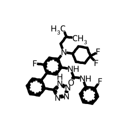 CC(C)CN(c1cc(F)c(-c2ccccc2-c2nnn[nH]2)cc1NC(=O)Nc1ccccc1F)C1CCC(F)(F)CC1